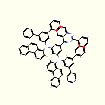 c1ccc(-c2cc(-c3ccccc3)cc(N3c4cc(-c5nc(-c6ccccc6)nc6ccccc56)cc5c4B(c4ccc6c(ccc7ccccc76)c43)c3ccc4c(ccc6ccccc64)c3N5c3cc(-c4ccccc4)cc(-c4ccccc4)c3)c2)cc1